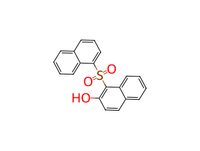 O=S(=O)(c1cccc2ccccc12)c1c(O)ccc2ccccc12